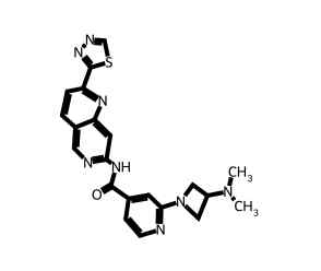 CN(C)C1CN(c2cc(C(=O)Nc3cc4nc(-c5nncs5)ccc4cn3)ccn2)C1